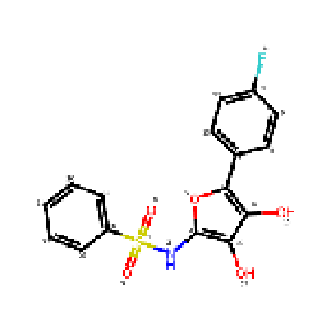 O=S(=O)(Nc1oc(-c2ccc(F)cc2)c(O)c1O)c1ccccc1